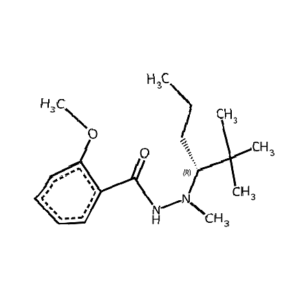 CCC[C@@H](N(C)NC(=O)c1ccccc1OC)C(C)(C)C